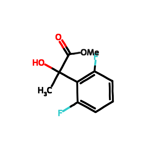 COC(=O)C(C)(O)c1c(F)cccc1F